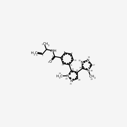 C=CC(C)NC(=O)c1cccc(-c2c(-c3nncn3C)cnn2C)c1